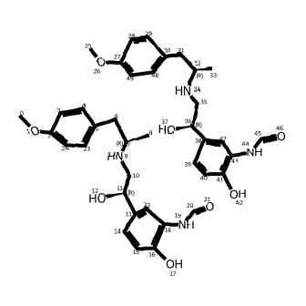 COc1ccc(C[C@@H](C)NC[C@H](O)c2ccc(O)c(NC=O)c2)cc1.COc1ccc(C[C@@H](C)NC[C@H](O)c2ccc(O)c(NC=O)c2)cc1